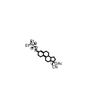 CCN(CC)S(=O)(=O)ON=C1C=C2CCC3C(=C2CC1)CC[C@@]1(C)C3CC[C@]1(CC#N)OC(C)=O